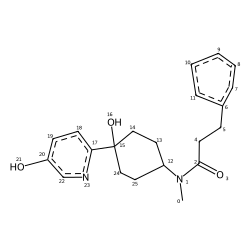 CN(C(=O)CCc1ccccc1)C1CCC(O)(c2ccc(O)cn2)CC1